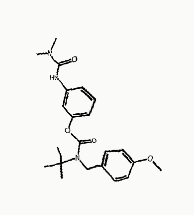 COc1ccc(CN(C(=O)Oc2cccc(NC(=O)N(C)C)c2)C(C)(C)C)cc1